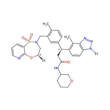 CC[C@@H]1CN(Cc2cc([C@H](CC(=O)NC3CCCOC3)c3ccc4c(nnn4CC)c3C)ccc2C)S(=O)(=O)c2cccnc2O1